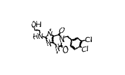 Cn1c(NCCO)nc2c1c(=O)n(Cc1ccc(Cl)c(Cl)c1)c(=O)n2C